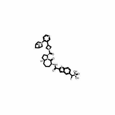 O=C(N[C@H]1CCC[C@H]2CC[C@@H](C(=O)N3CC(c4cnccc4N4CC5CC(C4)O5)C3)N2C1=O)c1cc2cc(C(F)P(=O)(O)O)ccc2s1